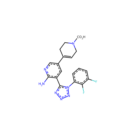 Nc1ncc(C2=CCN(C(=O)O)CC2)cc1-c1nnnn1-c1cccc(F)c1F